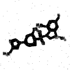 Cc1cn(-c2ccc(S(=O)(=O)N3C[C@@H](C)c4cc(F)cc(C)c43)c(C)c2)cn1